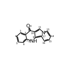 O=c1c2ccccc2[nH]c2c1cn1ccccc21